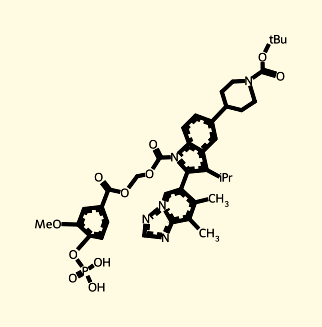 COc1cc(C(=O)OCOC(=O)n2c(-c3cn4ncnc4c(C)c3C)c(C(C)C)c3cc(C4CCN(C(=O)OC(C)(C)C)CC4)ccc32)ccc1OP(=O)(O)O